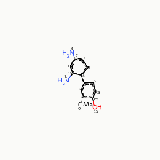 COc1cc(-c2ccc(N)cc2N)ccc1O